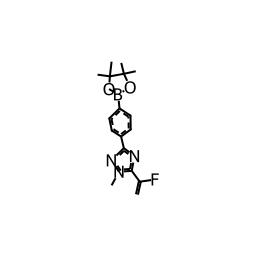 C=C(F)c1nc(-c2ccc(B3OC(C)(C)C(C)(C)O3)cc2)nn1C